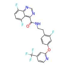 O=C(NCCc1ccc(Oc2cc(C(F)(F)F)ccn2)cc1F)c1ncnc2c(F)ccc(F)c12